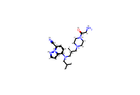 CC(C)CN(C[C@@H](C)CN1CCN(C(=O)CN)CC1)c1ccc(C#N)n2nccc12